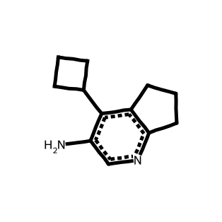 Nc1cnc2c(c1C1CCC1)CCC2